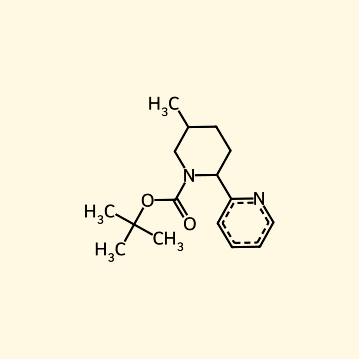 CC1CCC(c2ccccn2)N(C(=O)OC(C)(C)C)C1